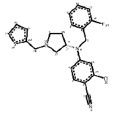 N#Cc1ccc(N(Cc2ccccc2F)[C@H]2CCN(Cc3cccs3)C2)cc1Cl